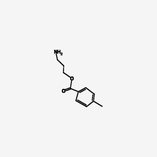 Cc1ccc(C(=O)OCCCN)cc1